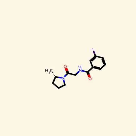 C[C@H]1CCCN1C(=O)CNC(=O)c1cccc(I)c1